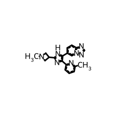 Cc1cccc(-c2nc(C3CN(C)C3)[nH]c2-c2ccc3ncnn3c2)n1